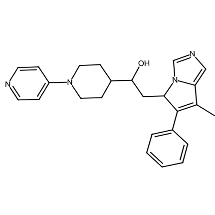 CC1=C(c2ccccc2)C(CC(O)C2CCN(c3ccncc3)CC2)n2cncc21